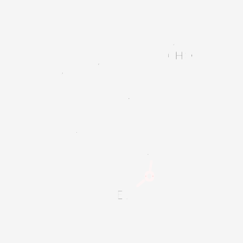 CCOc1ccc(C=O)cc1.c1ccccc1